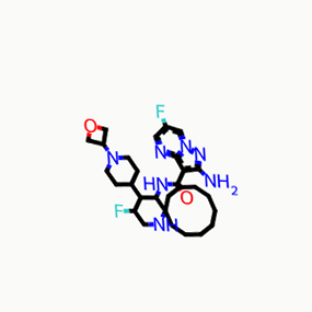 Nc1nn2cc(F)cnc2c1C(=O)NC1C(C2CCN(C3COC3)CC2)C(F)CNC12CCCCCCCCC2